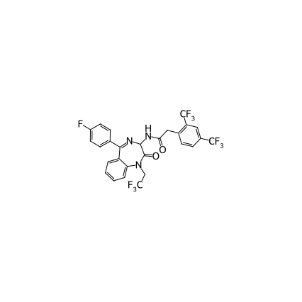 O=C(Cc1ccc(C(F)(F)F)cc1C(F)(F)F)NC1N=C(c2ccc(F)cc2)c2ccccc2N(CC(F)(F)F)C1=O